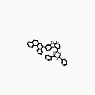 c1ccc(-c2nc(-c3ccccc3)nc(-c3ccnc4oc5cc(-c6cc7ccc8ccccc8c7c7ccccc67)ccc5c34)n2)cc1